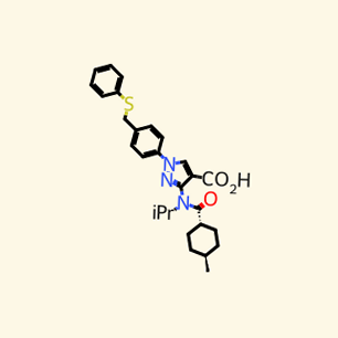 CC(C)N(c1nn(-c2ccc(CSc3ccccc3)cc2)cc1C(=O)O)C(=O)[C@H]1CC[C@H](C)CC1